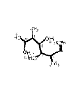 CC(CO)[C@@H](O)[C@H](O)C(C)C(O)O